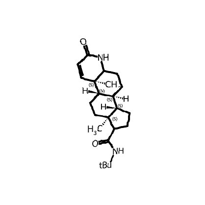 CC(C)(C)NC(=O)C1CC[C@H]2[C@@H]3CCC4NC(=O)C=C[C@]4(C)[C@H]3CC[C@]12C